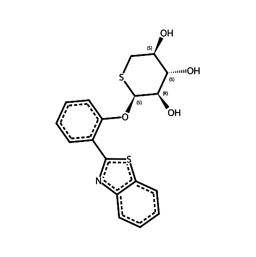 O[C@@H]1[C@@H](O)[C@@H](Oc2ccccc2-c2nc3ccccc3s2)SC[C@H]1O